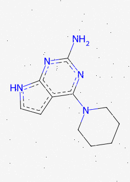 Nc1nc(N2CCCCC2)c2cc[nH]c2n1